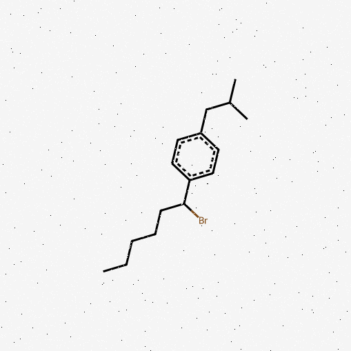 CCCCCC(Br)c1ccc(CC(C)C)cc1